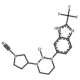 N#CN1CCC(N2CCCN(c3ccc4nc(C(F)(F)F)[nH]c4c3)[S+]2[O-])C1